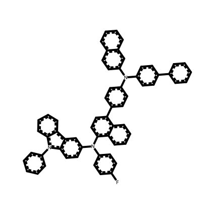 Fc1ccc(N(c2ccc3c(c2)c2ccccc2n3-c2ccccc2)c2ccc(-c3ccc(N(c4ccc(-c5ccccc5)cc4)c4ccc5ccccc5c4)cc3)c3ccccc23)cc1